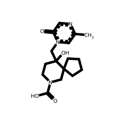 Cc1cn(CC2(O)CCN(C(=O)O)CC23CCCC3)c(=O)cn1